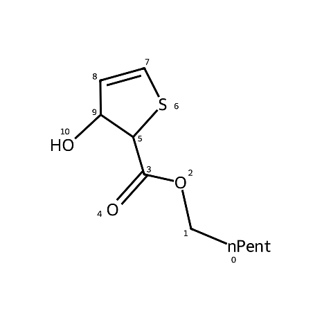 CCCCCCOC(=O)C1SC=CC1O